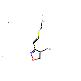 CC(C)(C)CSC=Cc1nocc1C(C)(C)C